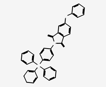 O=C1c2ccc(Oc3ccccc3)cc2C(=O)N1c1ccc([PH](C2=CCCC=C2)(c2ccccc2)c2ccccc2)cc1